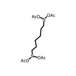 CC(=O)ON(CCCCCCN(OC(C)=O)OC(C)=O)OC(C)=O